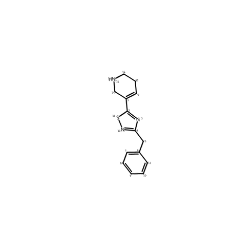 C1=C(c2nc(Cc3ccccc3)ns2)CNCC1